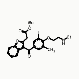 CCNCCOc1c(C)cc(C(=O)c2c(CC(=O)O[C@H](C)CC)oc3ccccc23)cc1I